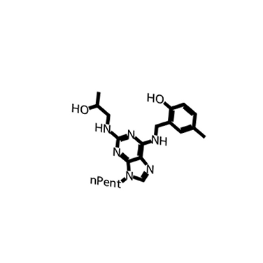 CCCCCn1cnc2c(NCc3cc(C)ccc3O)nc(NCC(C)O)nc21